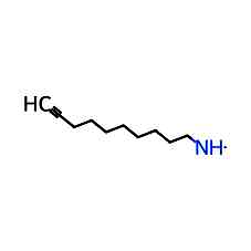 C#CCCCCCCCC[NH]